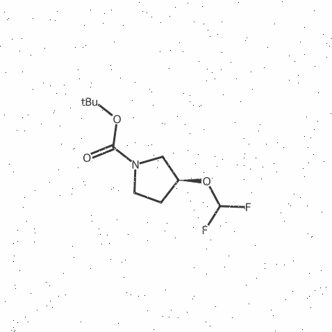 CC(C)(C)OC(=O)N1CC[C@H](OC(F)F)C1